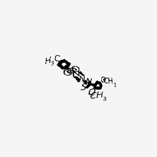 COc1ccc(OC)c(-c2csc(N3CCN(S(=O)(=O)c4ccc(C)cc4)CC3)n2)c1